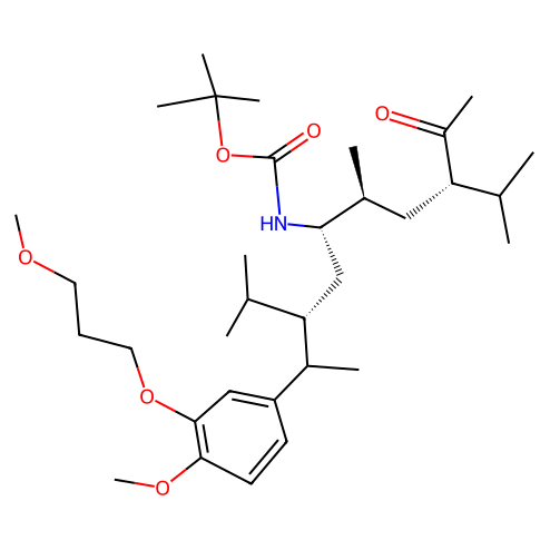 COCCCOc1cc(C(C)[C@@H](C[C@H](NC(=O)OC(C)(C)C)[C@@H](C)C[C@H](C(C)=O)C(C)C)C(C)C)ccc1OC